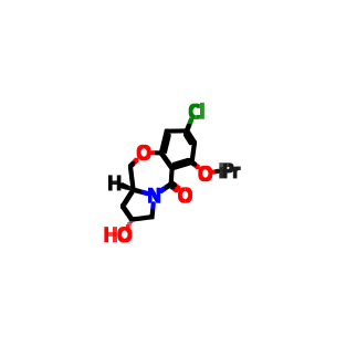 CC(C)Oc1cc(Cl)cc2c1C(=O)N1C[C@H](O)C[C@@H]1CO2